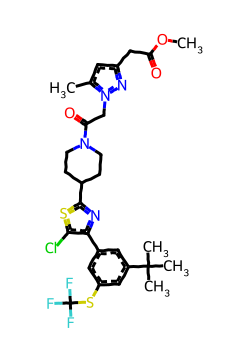 COC(=O)Cc1cc(C)n(CC(=O)N2CCC(c3nc(-c4cc(SC(F)(F)F)cc(C(C)(C)C)c4)c(Cl)s3)CC2)n1